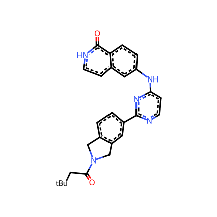 CC(C)(C)CC(=O)N1Cc2ccc(-c3nccc(Nc4ccc5c(=O)[nH]ccc5c4)n3)cc2C1